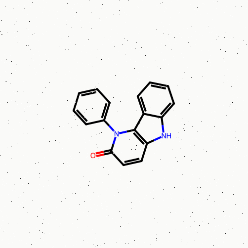 O=c1ccc2[nH]c3ccccc3c2n1-c1ccccc1